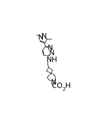 Cc1nn(C)cc1-c1ccc(NCC2CC3(CCN(C(=O)O)CC3)C2)nn1